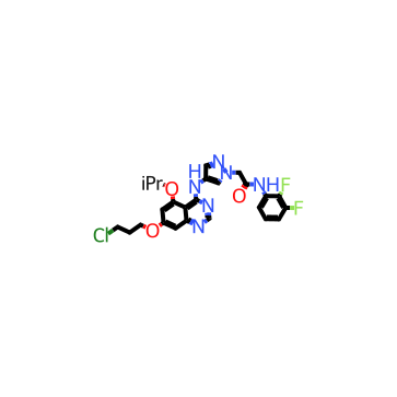 CC(C)Oc1cc(OCCCCl)cc2ncnc(Nc3cnn(CC(=O)Nc4cccc(F)c4F)c3)c12